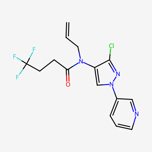 C=CCN(C(=O)CCC(F)(F)F)c1cn(-c2cccnc2)nc1Cl